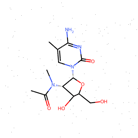 CC(=O)N(C)[C@H]1C(O)C(CO)O[C@H]1n1cc(C)c(N)nc1=O